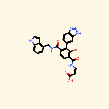 O=C(O)/C=C\NC(=O)c1ccc(C(=O)NCc2cccc3[nH]ccc23)c(-c2ccc3nn[nH]c3c2)c1Br